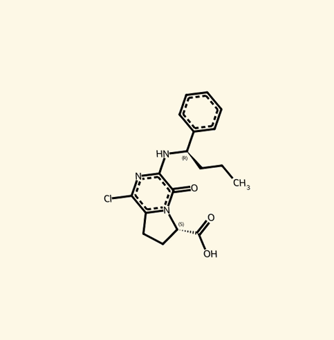 CCC[C@@H](Nc1nc(Cl)c2n(c1=O)[C@H](C(=O)O)CC2)c1ccccc1